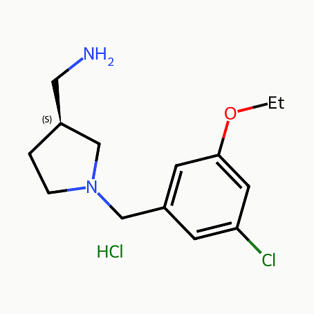 CCOc1cc(Cl)cc(CN2CC[C@@H](CN)C2)c1.Cl